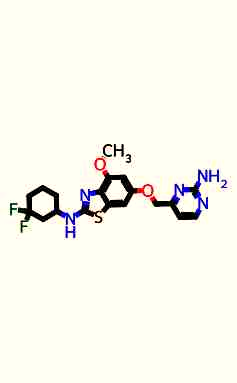 COc1cc(OCc2ccnc(N)n2)cc2sc(NC3CCCC(F)(F)C3)nc12